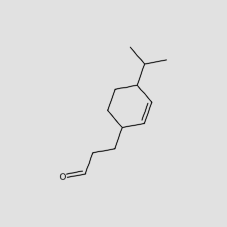 CC(C)C1C=CC(CCC=O)CC1